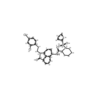 O=C(Nc1ccc2c3c(cccc13)C(=O)N2CCc1ccc(Cl)cc1Cl)C1CCCCN1S(=O)(=O)c1cccs1